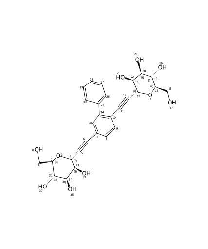 OC[C@H]1O[C@H](C#Cc2ccc(C#C[C@H]3O[C@H](CO)[C@@H](O)[C@H](O)[C@@H]3O)c(-c3ccccc3)c2)[C@@H](O)[C@@H](O)[C@@H]1O